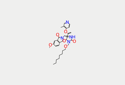 C=C(Oc1ccncc1C)[C@]1(CN2Cc3ccc(OC)cc3C2=O)NC(=O)N(COCCCCCCCC)C1=O